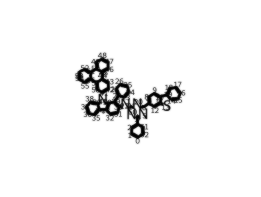 c1ccc(-c2nc(-c3ccc4c(c3)sc3ccccc34)nc(-n3c4ccccc4c4c3ccc3c5ccccc5n(-c5ccc6c7ccccc7c7ccccc7c6c5)c34)n2)cc1